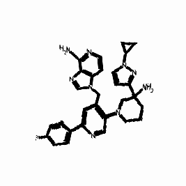 Nc1nccc2c1ncn2Cc1cc(-c2ccc(F)cc2)ncc1N1CCCC(N)(c2ccn(C3CC3)n2)C1